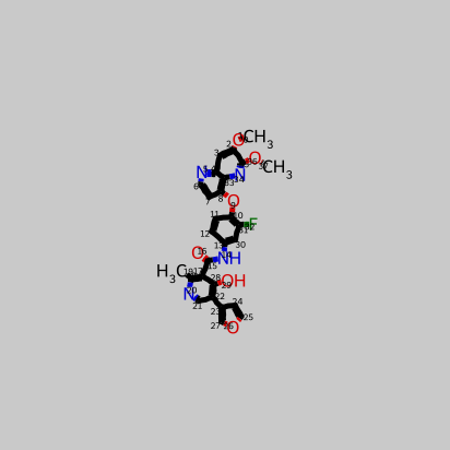 COc1cc2nccc(Oc3ccc(NC(=O)c4c(C)ncc(-c5ccoc5)c4O)cc3F)c2nc1OC